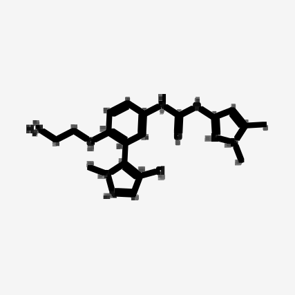 Cc1cc(OC(=O)Nc2ccc(OCCN)c(-c3c(Cl)cnn3C)c2)nn1C